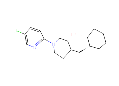 O[C@@H]1CCCC[C@H]1CC1CCN(c2ccc(Cl)cn2)CC1